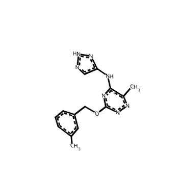 Cc1cccc(COc2nnc(C)c(Nc3cn[nH]n3)n2)c1